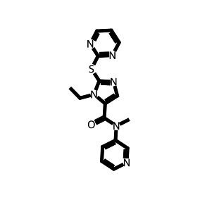 CCn1c(C(=O)N(C)c2cccnc2)cnc1Sc1ncccn1